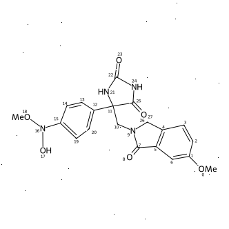 COc1ccc2c(c1)C(=O)N(CC1(c3ccc(N(O)OC)cc3)NC(=O)NC1=O)C2